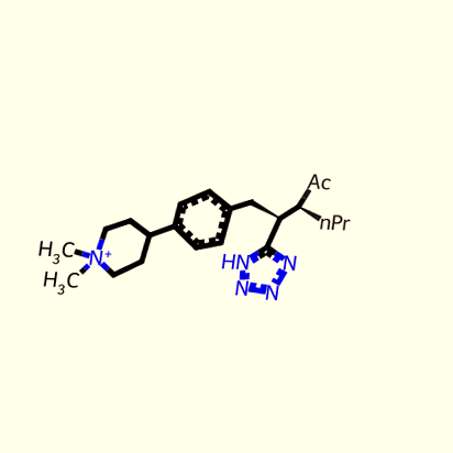 CCC[C@H](C(C)=O)[C@H](Cc1ccc(C2CC[N+](C)(C)CC2)cc1)c1nnn[nH]1